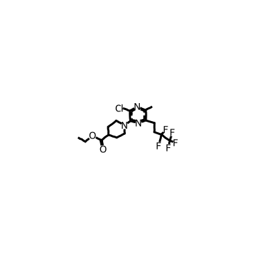 CCOC(=O)C1CCN(c2nc(CCC(F)(F)C(F)(F)F)c(C)nc2Cl)CC1